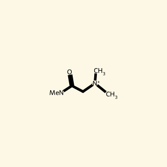 CNC(=O)C[N+](C)C